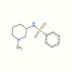 CN1CCCC(NS(=O)(=O)c2ccccc2)C1